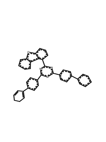 C1=CC(c2ccc(-c3nc(-c4ccc(-c5ccccc5)cc4)nc(-c4cccc5oc6ccccc6c45)n3)cc2)=CCC1